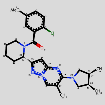 COc1ccc(Cl)c(C(=O)N2CCCC[C@H]2c2cc3nc(N4C[C@@H](C#N)[C@@H](C)C4)c(C)cn3n2)c1